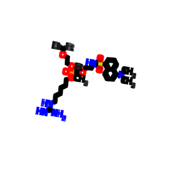 CCC(CC)OCCOP(=O)(OCCCCCCNC(=N)N)C(C)(CC)OCCNS(=O)(=O)c1cccc2c(N(C)C)cccc12